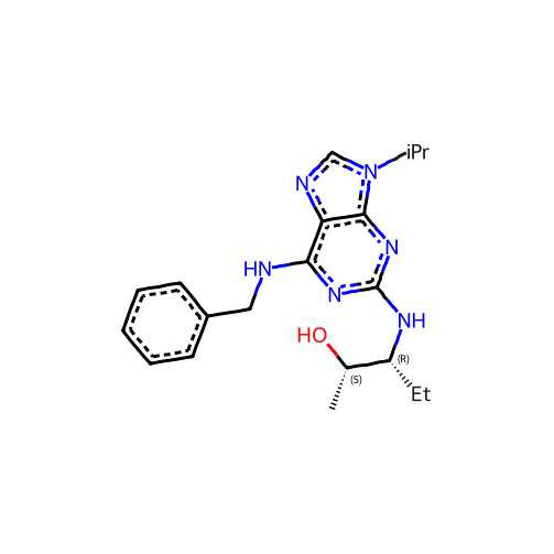 CC[C@@H](Nc1nc(NCc2ccccc2)c2ncn(C(C)C)c2n1)[C@H](C)O